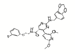 COc1ccc(-c2nc(NCc3ccc4c(c3)OCO4)ncc2C(=O)NCCOc2cccc(F)c2)c(OC)n1